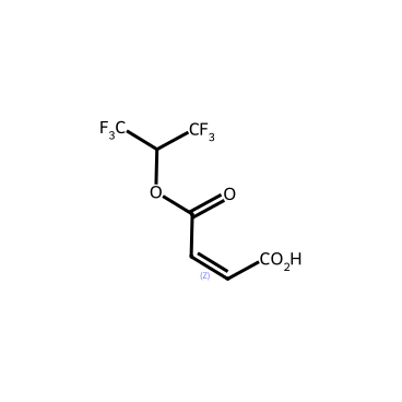 O=C(O)/C=C\C(=O)OC(C(F)(F)F)C(F)(F)F